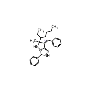 CCCCC(CC)C1(C)NN2C(=NNC2c2ccccc2)/C1=C\c1ccccc1